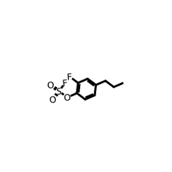 CCCc1ccc(OS(=O)(=O)F)c(F)c1